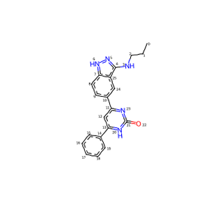 CCCNc1n[nH]c2ccc(-c3cc(-c4ccccc4)[nH]c(=O)n3)cc12